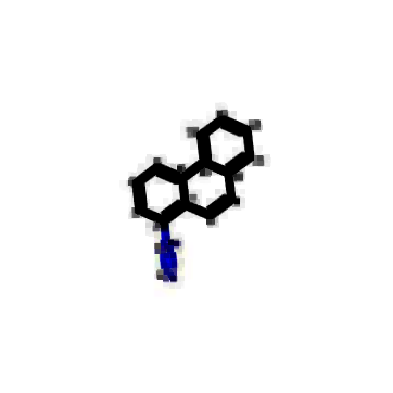 N#[N+]c1cccc2c1ccc1ccccc12